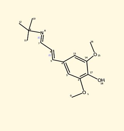 COc1cc(/C=C/C=N/C(C)(C)C)cc(OC)c1O